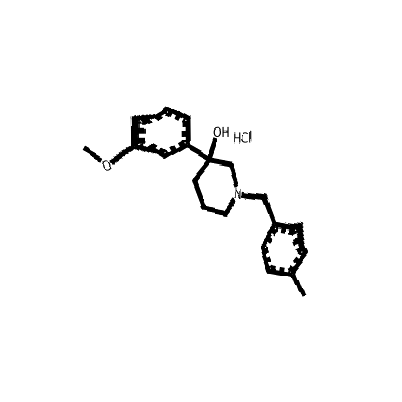 COc1cccc(C2(O)CCCN(Cc3ccc(C)cc3)C2)c1.Cl